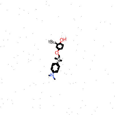 CN(C)c1ccc([Si](C)(C)COc2ccc(O)c(C(C)(C)C)c2)cc1